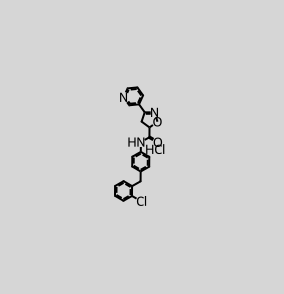 Cl.O=C(Nc1ccc(Cc2ccccc2Cl)cc1)C1CC(c2cccnc2)=NO1